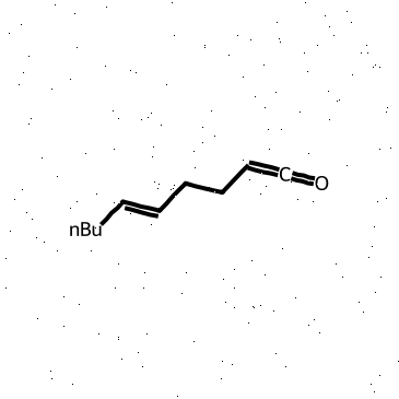 CCCCC=CCCC=C=O